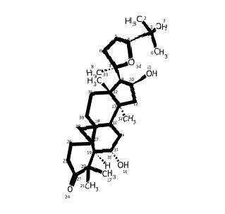 CC(C)(O)[C@@H]1CC[C@](C)([C@H]2[C@@H](O)C[C@@]3(C)C4C[C@H](O)[C@H]5C(C)(C)C(=O)CCC56CC46CC[C@]23C)O1